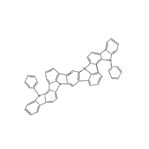 c1ccc(-n2c3ccccc3c3ccc4c(c5cccc6c7cc8c(cc7n4c65)c4cccc5c6c7c(ccc6n8c45)c4ccccc4n7-c4ccccc4)c32)cc1